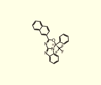 FC(F)(F)[C@]1(c2ccccc2)OC(c2ccc3ccccc3c2)=Nc2nc3ccccc3n21